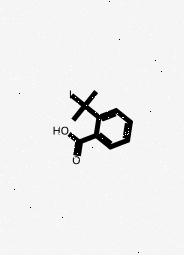 CC(C)(I)c1ccccc1C(=O)O